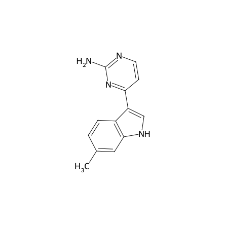 Cc1ccc2c(-c3ccnc(N)n3)c[nH]c2c1